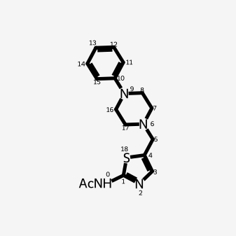 CC(=O)Nc1ncc(CN2CCN(c3ccccc3)CC2)s1